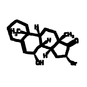 C[C@]12CCCCC1=C[C@@H](O)[C@@H]1[C@@H]2CC[C@]2(C)C(=O)[C@H](Br)C[C@@H]12